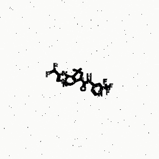 CC1(C)C[C@@H](C(=O)Nc2ccnc(C(F)(F)F)c2)c2cnn3cc(C(F)F)nc3c21